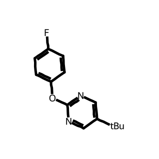 CC(C)(C)c1cnc(Oc2ccc(F)cc2)nc1